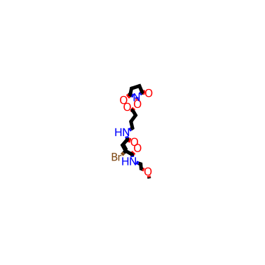 COCCNC(=O)/C(Br)=C\C(=O)NCCCC(=O)ON1C(=O)CCC1=O